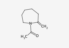 C=C1CCCCCN1C(C)=O